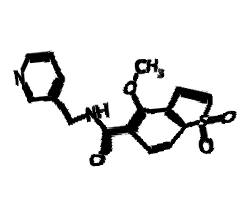 COc1c(C(=O)NCc2cccnc2)ccc2c1C=CS2(=O)=O